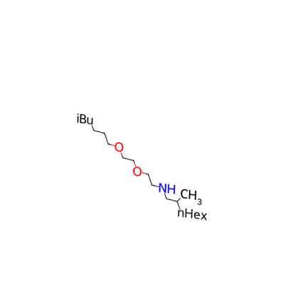 CCCCCCC(C)CNCCOCCOCCCC(C)CC